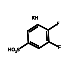 O=S(=O)(O)c1ccc(F)c(F)c1.[KH]